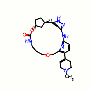 CN1CC=C(c2ccc3nc2COCCCNC(=O)O[C@@H]2CC[C@@H](C2)c2cc(n[nH]2)N3)CC1